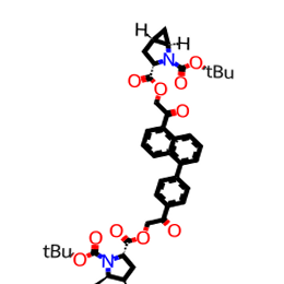 C[C@@H]1C[C@@H](C(=O)OCC(=O)c2ccc(-c3cccc4c(C(=O)COC(=O)[C@@H]5C[C@H]6C[C@H]6N5C(=O)OC(C)(C)C)cccc34)cc2)N(C(=O)OC(C)(C)C)[C@@H]1C